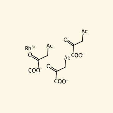 CC(=O)CC(=O)C(=O)[O-].CC(=O)CC(=O)C(=O)[O-].CC(=O)CC(=O)C(=O)[O-].[Rh+3]